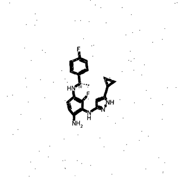 C[C@H](Nc1ccc(N)c(Nc2cc(C3CC3)[nH]n2)c1F)c1ccc(F)cc1